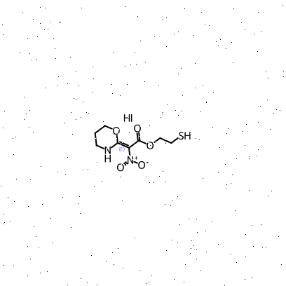 I.O=C(OCCS)/C(=C1/NCCCO1)[N+](=O)[O-]